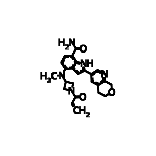 C=CC(=O)N1CC(N(C)c2ccc(C(N)=O)c3[nH]c(-c4cnc5c(c4)CCOC5)cc23)C1